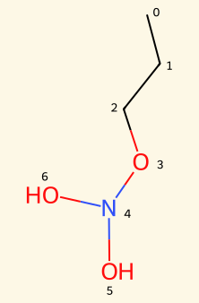 CCCON(O)O